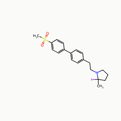 CC1(I)CCCN1CCc1ccc(-c2ccc(S(C)(=O)=O)cc2)cc1